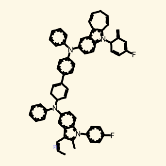 C=C1C=C(F)C=CC1n1c2c(c3cc(N(c4ccccc4)c4ccc(C5=CCC(N(c6ccccc6)c6ccc7c(c6)c(/C=C\C)c(C)n7-c6ccc(F)cc6)C=C5)cc4)ccc31)C=CCC=C2